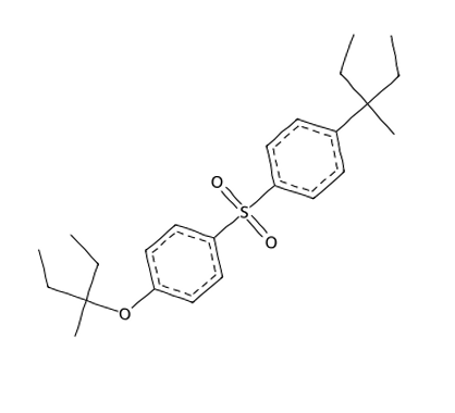 CCC(C)(CC)Oc1ccc(S(=O)(=O)c2ccc(C(C)(CC)CC)cc2)cc1